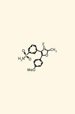 COc1ccc(C2=C(c3cccc(S(N)(=O)=O)c3)N(F)C(C)O2)cc1